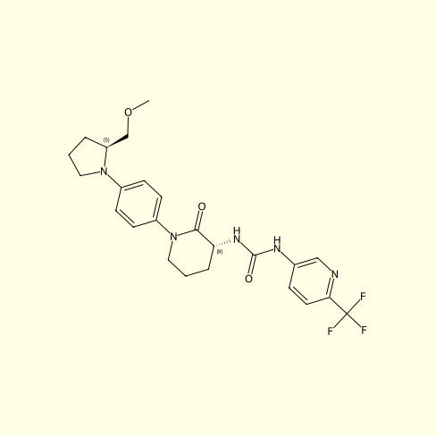 COC[C@@H]1CCCN1c1ccc(N2CCC[C@@H](NC(=O)Nc3ccc(C(F)(F)F)nc3)C2=O)cc1